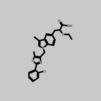 CCOC(Cc1ccc2c(c1)c(C)cn2Cc1nc(-c2ccccc2Cl)oc1C)C(=O)O